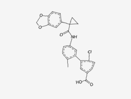 Cc1ccc(NC(=O)C2(c3ccc4c(c3)OCO4)CC2)cc1-c1cc(C(=O)O)ccc1Cl